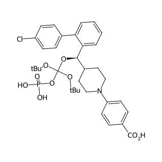 CC(C)(C)OC(O[C@@H](c1ccccc1-c1ccc(Cl)cc1)C1CCN(c2ccc(C(=O)O)cc2)CC1)(OC(C)(C)C)OP(=O)(O)O